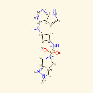 CN(c1ncnc2[nH]ccc12)C1CC(NS(=O)(=O)N2Cc3cn(C)nc3C2)C1